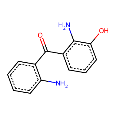 Nc1ccccc1C(=O)c1cccc(O)c1N